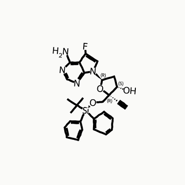 C#C[C@]1(CO[Si](c2ccccc2)(c2ccccc2)C(C)(C)C)O[C@@H](n2cc(F)c3c(N)ncnc32)C[C@@H]1O